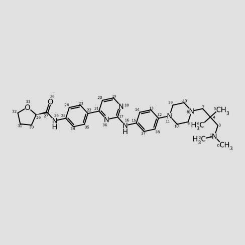 CN(C)CC(C)(C)CN1CCN(c2ccc(Nc3nccc(-c4ccc(NC(=O)[C@H]5CCCO5)cc4)n3)cc2)CC1